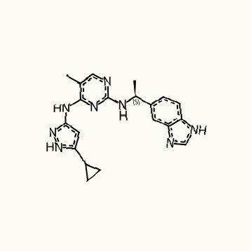 Cc1cnc(N[C@@H](C)c2ccc3[nH]cnc3c2)nc1Nc1cc(C2CC2)[nH]n1